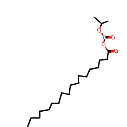 CCCCCCCCCCCCCCCCCC(=O)[O][Ti](=[O])[O]C(C)C